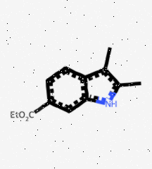 CCOC(=O)c1ccc2c(C)c(C)[nH]c2c1